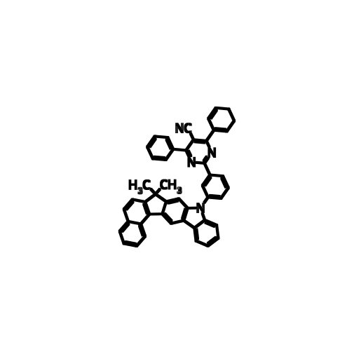 CC1(C)c2cc3c(cc2-c2c1ccc1ccccc21)c1ccccc1n3-c1cccc(-c2nc(C3=CCCC=C3)c(C#N)c(-c3ccccc3)n2)c1